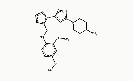 COc1ccc(NCc2cccn2-c2nnc(N3CCC(C)CC3)s2)c(OC)c1